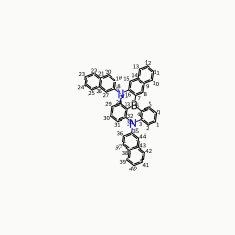 c1ccc2c(c1)B1c3cc4ccccc4cc3N(c3ccc4ccccc4c3)c3cccc(c31)N2c1ccc2ccccc2c1